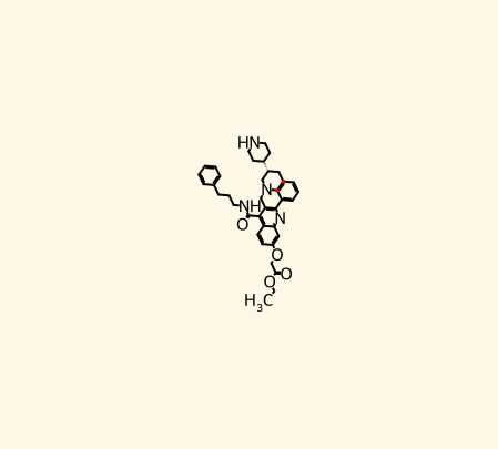 CCOC(=O)COc1ccc2c(C(=O)NCCCc3ccccc3)c(CN3CCC[C@@H](C4CCNCC4)C3)c(-c3ccccc3)nc2c1